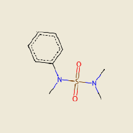 CN(C)S(=O)(=O)N(C)c1cc[c]cc1